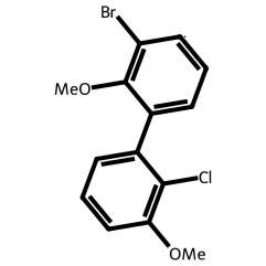 COc1cccc(-c2cc[c]c(Br)c2OC)c1Cl